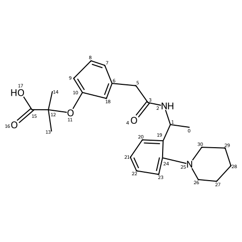 CC(NC(=O)Cc1cccc(OC(C)(C)C(=O)O)c1)c1ccccc1N1CCCCC1